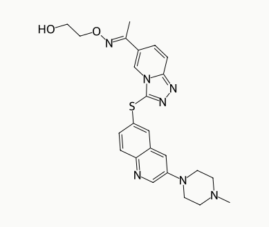 CC(=NOCCO)c1ccc2nnc(Sc3ccc4ncc(N5CCN(C)CC5)cc4c3)n2c1